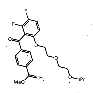 C=C(OC)c1ccc(C(=O)c2c(OCCOCCOCCC)ccc(F)c2F)cc1